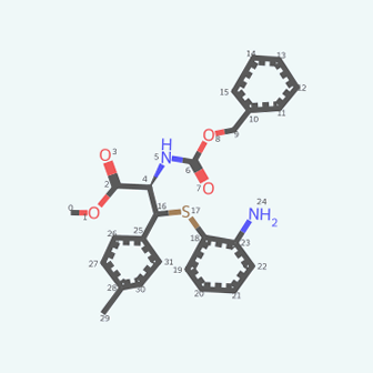 COC(=O)[C@@H](NC(=O)OCc1ccccc1)C(Sc1ccccc1N)c1ccc(C)cc1